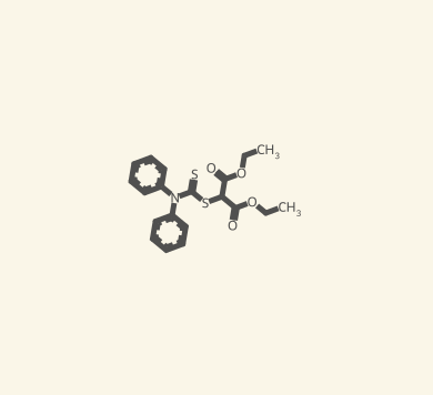 CCOC(=O)C(SC(=S)N(c1ccccc1)c1ccccc1)C(=O)OCC